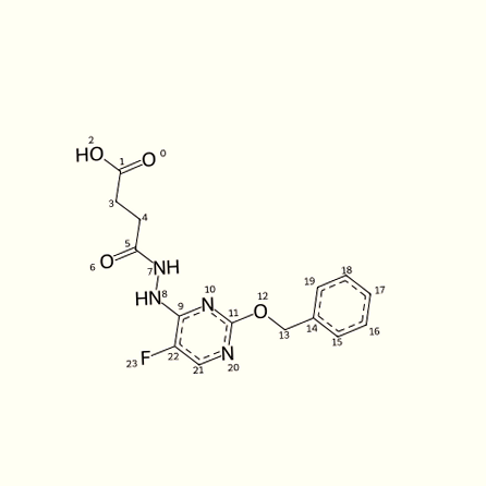 O=C(O)CCC(=O)NNc1nc(OCc2ccccc2)ncc1F